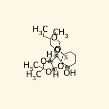 CCCCO[C@@H]1[C@H]2OC(C)(C)O[C@H]2OC12[C@H](O)CCC[C@@H]2OCOC